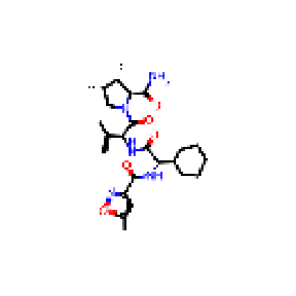 C=C(C)C(NC(=O)[C@@H](NC(=O)c1cc(C)on1)C1CCCCC1)C(=O)N1C[C@H](C)[C@H](C)[C@H]1C(N)=O